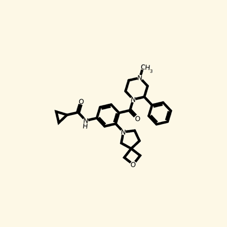 CN1CCN(C(=O)c2ccc(NC(=O)C3CC3)cc2N2CCC3(COC3)C2)C(c2ccccc2)C1